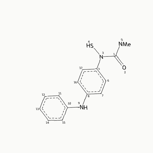 CNC(=O)N(S)c1ccc(Nc2ccccc2)cc1